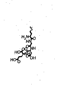 CSCC[C@H](N)C(=O)NCC(=O)N[C@@H](CC(=O)O)C(=O)N[C@@H](CCC(=O)O)C(=O)O